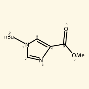 CCCCn1cnc(C(=O)OC)c1